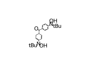 CC(C)(C)N(O)C1=CCC(C(=O)c2ccc(N(O)C(C)(C)C)cc2)C=C1